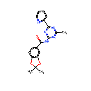 Cc1nc(NC(=O)c2ccc3c(c2)OC(C)(C)O3)nc(-c2ccccn2)n1